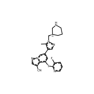 Cc1c(-c2cc(Sc3ncccc3F)c3c(C#N)cnn3c2)cnn1C[C@@H]1CCCNC1